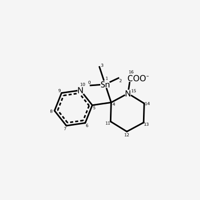 [CH3][Sn]([CH3])([CH3])[C]1(c2ccccn2)CCCCN1C(=O)[O-]